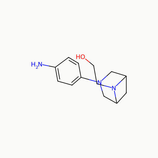 Nc1ccc(N2CC3CC(C2)N3CCO)cc1